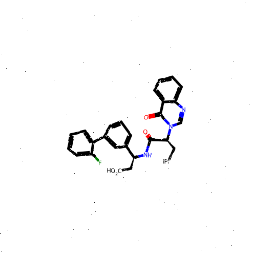 CC(C)C[C@@H](C(=O)N[C@@H](CC(=O)O)c1cccc(-c2ccccc2F)c1)n1cnc2ccccc2c1=O